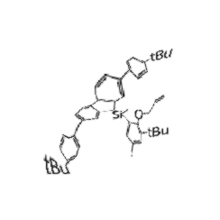 C=CCOc1c(C(C)(C)C)cc(C)cc1[Si](C)(C)C1c2cc(-c3ccc(C(C)(C)C)cc3)ccc2-c2ccc(-c3ccc(C(C)(C)C)cc3)cc21